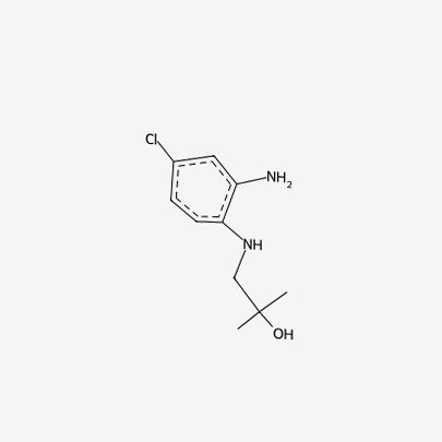 CC(C)(O)CNc1ccc(Cl)cc1N